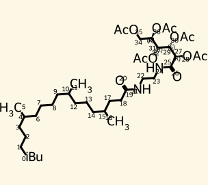 CCC(C)CCCC(C)CCCCC(C)CCCC(C)CCC(=O)NCCNC(=O)[C@H](OC(C)=O)[C@@H](OC(C)=O)[C@H](OC(C)=O)[C@@H](COC(C)=O)OC(C)=O